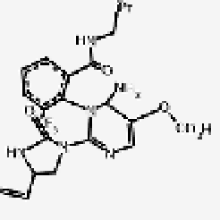 C=CC1CN(C2=NC=C(OC(=O)O)C(N)N2c2c(C(=O)NCC(C)C)cccc2C(F)(F)F)C(=O)N1